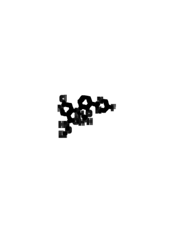 [2H]C([2H])([2H])Oc1c(Nc2cc(Cl)ncc2C(=O)NOCC)cccc1-c1ncc(F)cn1